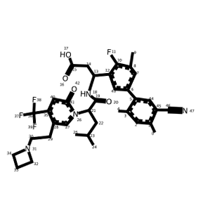 Cc1cc(C)c(-c2cc(C)c(F)c(C(CC(=O)O)NC(=O)C(CC(C)C)n3cc(CCN4CCC4)c(C(F)(F)F)cc3=O)c2)cc1C#N